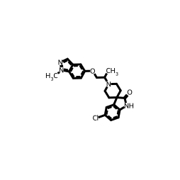 CC(COc1ccc2c(cnn2C)c1)N1CCC2(CC1)C(=O)Nc1ccc(Cl)cc12